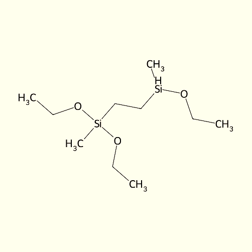 CCO[SiH](C)CC[Si](C)(OCC)OCC